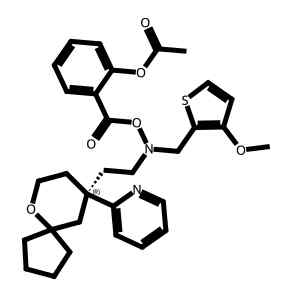 COc1ccsc1CN(CC[C@@]1(c2ccccn2)CCOC2(CCCC2)C1)OC(=O)c1ccccc1OC(C)=O